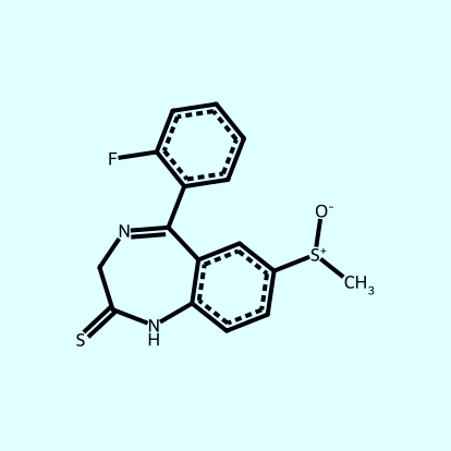 C[S+]([O-])c1ccc2c(c1)C(c1ccccc1F)=NCC(=S)N2